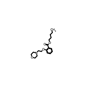 CCCCCOC(=O)c1ccccc1OCCN1CCOCC1